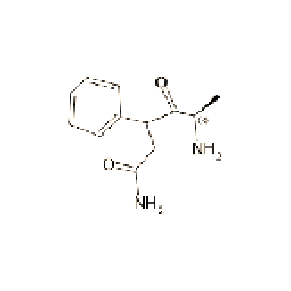 C[C@@H](N)C(=O)C(CC(N)=O)c1ccccc1